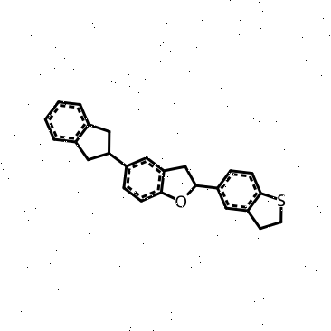 c1ccc2c(c1)CC(c1ccc3c(c1)CC(c1ccc4c(c1)CCS4)O3)C2